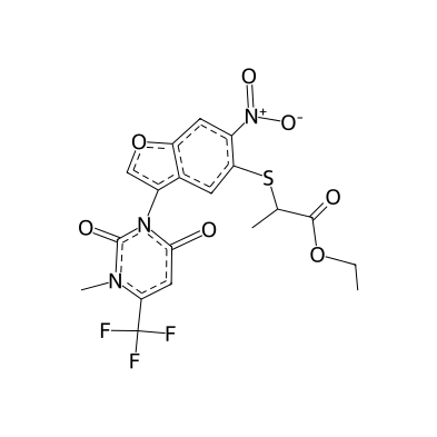 CCOC(=O)C(C)Sc1cc2c(-n3c(=O)cc(C(F)(F)F)n(C)c3=O)coc2cc1[N+](=O)[O-]